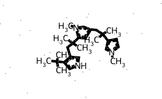 Cn1ccc(C(C)(C)Cc2cc(C(C)(C)Cc3c[nH]cc3C(C)(C)C)n(C)c2)c1